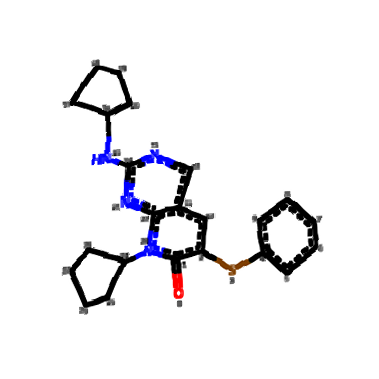 O=c1c(Sc2ccccc2)cc2cnc(NC3CCCC3)nc2n1C1CCCC1